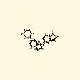 c1cc2[nH]ncc2cc1-n1cnc2cnc(N3CCOCC3)nc21